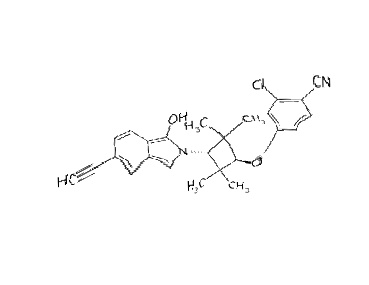 C#Cc1ccc2c(O)n([C@H]3C(C)(C)[C@H](Oc4ccc(C#N)c(Cl)c4)C3(C)C)cc2c1